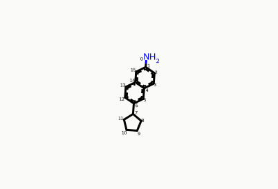 Nc1ccc2cc(C3CCCC3)ccc2c1